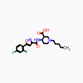 CCCC[CH]N1CCC(NC(=O)c2cc(-c3ccc(F)cc3F)on2)C(C(=O)O)C1